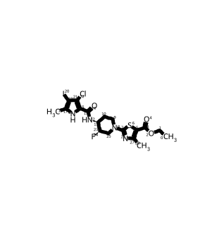 CCOC(=O)c1sc(N2CC[C@@H](NC(=O)c3[nH]c(C)c(I)c3Cl)[C@@H](F)C2)nc1C